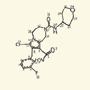 NC(=O)c1c(-c2cccc(F)c2)c(Cl)n2c1CN(C(=O)NC1CCOCC1)CC2